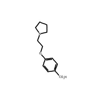 O=C(O)c1ccc(OCCN2CCCC2)cc1